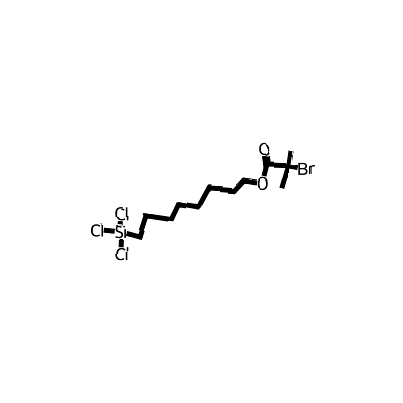 CC(C)(Br)C(=O)OCCCCCCCC[Si](Cl)(Cl)Cl